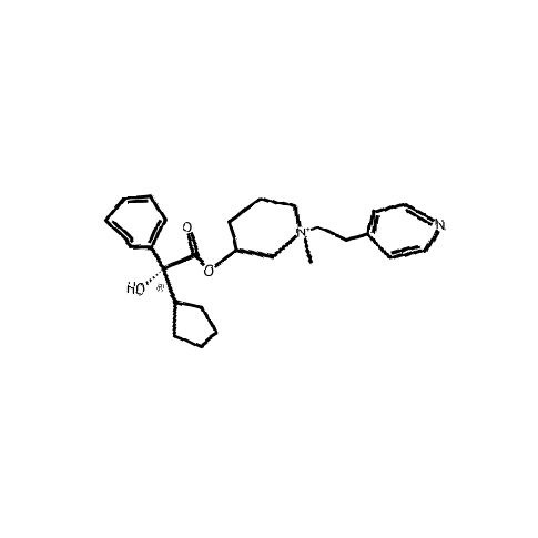 C[N+]1(CCc2ccncc2)CCCC(OC(=O)[C@](O)(c2ccccc2)C2CCCC2)C1